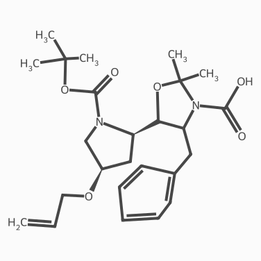 C=CCO[C@@H]1C[C@H](C2OC(C)(C)N(C(=O)O)C2Cc2ccccc2)N(C(=O)OC(C)(C)C)C1